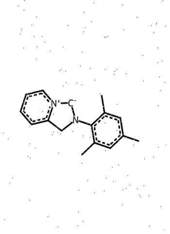 Cc1cc(C)c(N2[CH-][n+]3ccccc3C2)c(C)c1